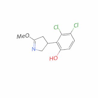 COC1=NCC(c2c(O)ccc(Cl)c2Cl)C1